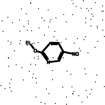 CCOc1ccc(N=O)cn1